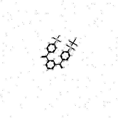 C=C(c1ccc([Si](C)(C)C)cc1)c1cccc(C(=C)c2ccc([Si](C)(C)C(C)(C)C)cc2)c1